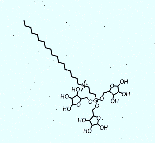 CCCCCCCCCCCCCCCCCC[N+](C)(C)CCC[Si](OCC1OC(O)C(O)C1O)(OCC1OC(O)C(O)C1O)OCC1OC(O)C(O)C1O